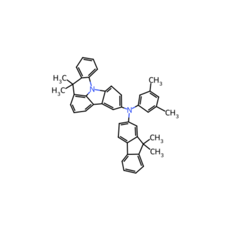 Cc1cc(C)cc(N(c2ccc3c(c2)C(C)(C)c2ccccc2-3)c2ccc3c(c2)c2cccc4c2n3-c2ccccc2C4(C)C)c1